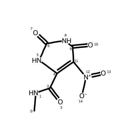 CNC(=O)c1[nH]c(=O)[nH]c(=O)c1[N+](=O)[O-]